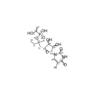 C=C(O)P(=O)(O)OC(C)(CC)C[C@H]1O[C@@H](n2cc(I)c(=O)[nH]c2=O)[C@H](O)[C@@H]1O